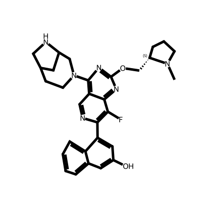 CN1CCC[C@H]1COc1nc(N2CCC3CNC(C3)C2)c2cnc(-c3cc(O)cc4ccccc34)c(F)c2n1